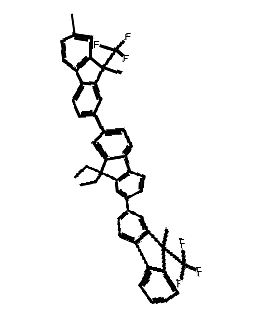 CCC1(CC)c2cc(-c3ccc4c(c3)C(C)(C(F)(F)F)c3ccccc3-4)ccc2-c2ccc(-c3ccc4c(c3)C(C)(C(F)(F)F)c3cc(C)ccc3-4)cc21